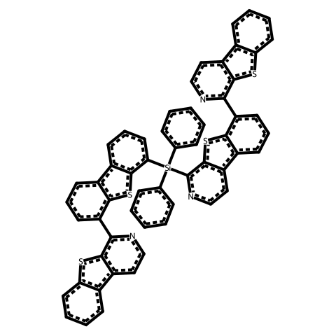 c1ccc([Si](c2ccccc2)(c2cccc3c2sc2c(-c4nccc5c4sc4ccccc45)cccc23)c2nccc3c2sc2c(-c4nccc5c4sc4ccccc45)cccc23)cc1